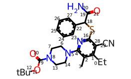 CCc1c(C)c(N2CCN(C(=O)OC(C)(C)C)CC2)nc(SC(C(N)=O)c2ccccc2)c1C#N